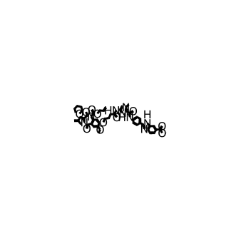 C=CCOC(=O)N1c2cc(OCCCC(=O)Nc3cn(C)c(C(=O)Nc4ccc(-c5nc6ccc(C(=O)OC)cc6[nH]5)cc4)n3)c(OC)cc2C(=O)N2CC(=C)CC2C1OC1CCCCO1